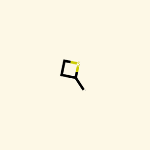 [CH2]C1CCS1